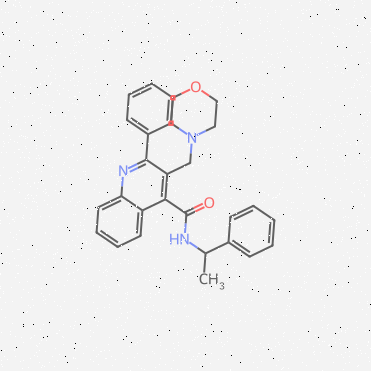 CC(NC(=O)c1c(CN2CCOCC2)c(-c2ccccc2)nc2ccccc12)c1ccccc1